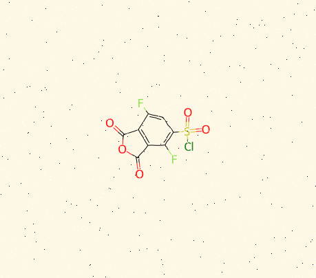 O=C1OC(=O)c2c(F)c(S(=O)(=O)Cl)cc(F)c21